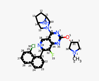 CN1CC[C@@H](Oc2nc(N3CC4CCC(C3)N4)c3cnc(-c4cccc5cccc(Cl)c45)c(F)c3n2)C1